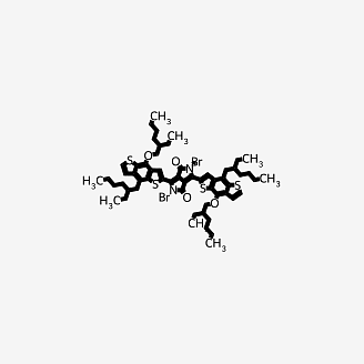 CCCCC(CC)COc1c2cc(C3=C4C(=O)N(Br)C(c5cc6c(CC(CC)CCCC)c7sccc7c(OCC(CC)CCCC)c6s5)=C4C(=O)N3Br)sc2c(CC(CC)CCCC)c2ccsc12